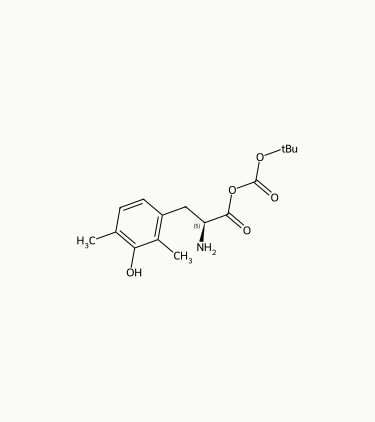 Cc1ccc(C[C@H](N)C(=O)OC(=O)OC(C)(C)C)c(C)c1O